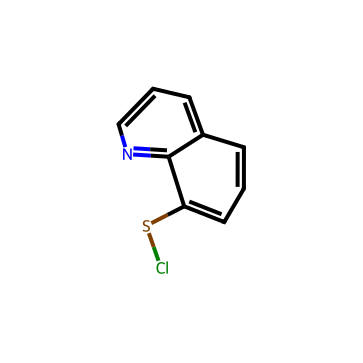 ClSc1cccc2cccnc12